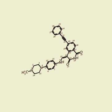 CN1CCN(c2ccc(NC=C3C(=O)NC(=O)c4ccc(C#Cc5ccccc5)cc43)cc2)CC1